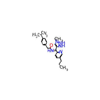 CCCc1ccc([C@H](NC(=O)Cc2ccc(C(C)C)cc2)C2=CN(C)NN2)nc1